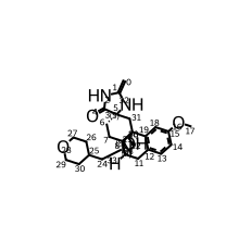 C=C1NC(=O)[C@@]2(CC[C@@]3(O)[C@H]4Cc5ccc(OC)cc5[C@@]3(CCN4CC3CCOCC3)C2)N1